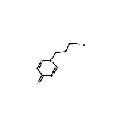 CCCCn1cnc(=O)cn1